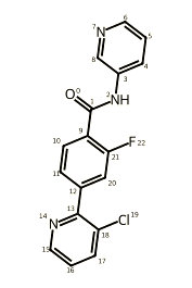 O=C(Nc1cccnc1)c1ccc(-c2ncccc2Cl)cc1F